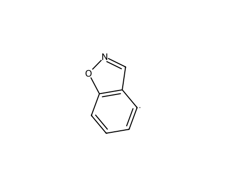 [c]1cccc2oncc12